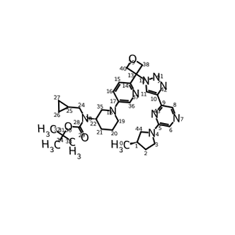 C[C@@H]1CCN(c2cncc(-c3cn(C4(c5ccc(N6CCC[C@@H](N(CC7CC7)C(=O)OC(C)(C)C)C6)cn5)COC4)nn3)n2)C1